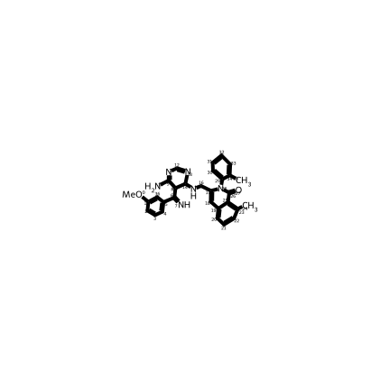 COc1cccc(C(=N)C2C(N)=NC=NC2NCc2cc3cccc(C)c3c(=O)n2-c2ccccc2C)c1